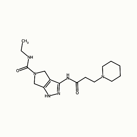 CCNC(=O)N1Cc2[nH]nc(NC(=O)CCN3CCCCC3)c2C1